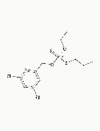 CCCS[P@@](=S)(OCC)OCc1cc(Cl)nc(Cl)n1